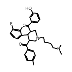 Cc1ccc(C(=O)C2CN(CCCCN(C)C)CC(C(=O)c3cccc(O)c3)C2c2cccc(F)c2C)cc1